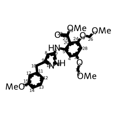 COCOc1cc(Nc2cc(Cc3cccc(OC)c3)n[nH]2)c(C(=O)OC)c(OCOC)c1